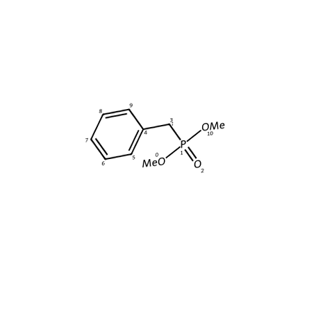 COP(=O)([C]c1ccccc1)OC